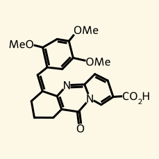 COc1cc(OC)c(OC)cc1/C=C1/CCCc2c1nc1ccc(C(=O)O)cn1c2=O